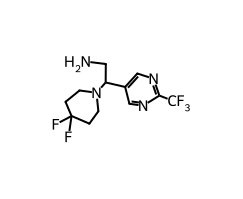 NCC(c1cnc(C(F)(F)F)nc1)N1CCC(F)(F)CC1